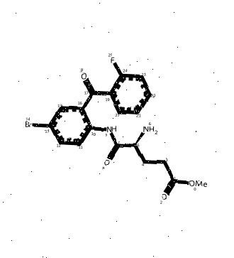 COC(=O)CC[C@H](N)C(=O)Nc1ccc(Br)cc1C(=O)c1ccccc1F